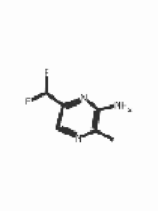 Cc1ncc(C(F)F)nc1N